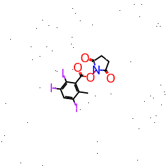 Cc1c(I)cc(I)c(I)c1C(=O)ON1C(=O)CCC1=O